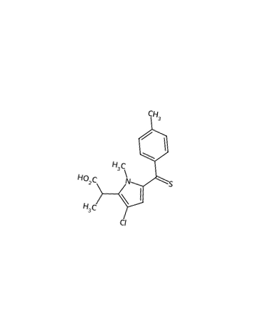 Cc1ccc(C(=S)c2cc(Cl)c(C(C)C(=O)O)n2C)cc1